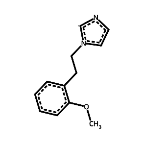 COc1ccccc1CCn1[c]ncc1